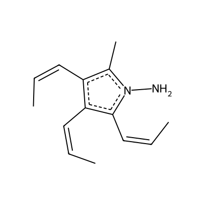 C/C=C\c1c(/C=C\C)c(/C=C\C)n(N)c1C